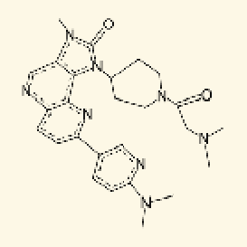 CN(C)CC(=O)N1CCC(n2c(=O)n(C)c3cnc4ccc(-c5ccc(N(C)C)nc5)nc4c32)CC1